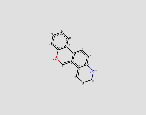 C1=c2c(ccc3c2=COc2ccccc2-3)NCC1